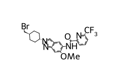 COc1cc2nn([C@H]3CC[C@H](CBr)CC3)cc2cc1NC(=O)c1cccc(C(F)(F)F)n1